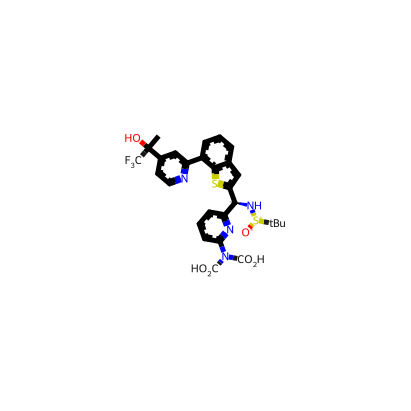 CC(C)(C)[S+]([O-])N[C@@H](c1cccc(N(C(=O)O)C(=O)O)n1)c1cc2cccc(-c3cc(C(C)(O)C(F)(F)F)ccn3)c2s1